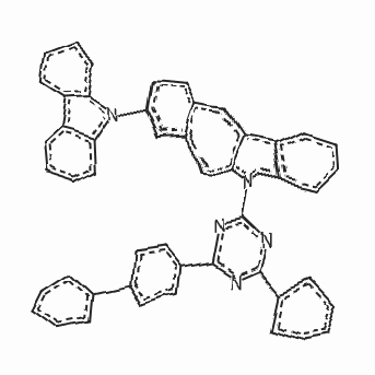 c1ccc(-c2ccc(-c3nc(-c4ccccc4)nc(-n4c5ccccc5c5cc6ccc(-n7c8ccccc8c8ccccc87)cc6cc54)n3)cc2)cc1